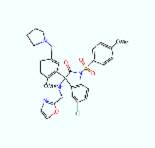 COc1ccc(S(=O)(=O)N2C(=O)C(NCc3ncco3)(c3cc(CN4CCCC4)ccc3OC)c3cc(Cl)ccc32)cc1